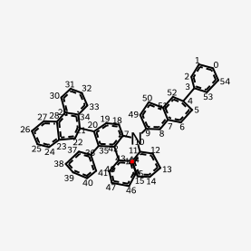 c1ccc(-c2ccc3cc(N(c4ccccc4)c4ccc(-c5cc6ccccc6c6ccccc56)c(-c5ccccc5)c4-c4ccccc4)ccc3c2)cc1